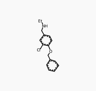 CCNCc1ccc(OCc2ccccc2)c(Cl)c1